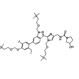 CCc1cc(OCOCC[Si](C)(C)C)c(F)cc1-c1ccc2c(-c3nc(CNC(=O)N4CCC(O)C4)cn3COCC[Si](C)(C)C)nn(COCC[Si](C)(C)C)c2c1